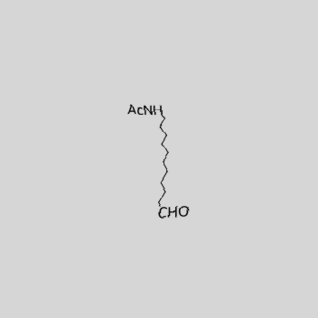 CC(=O)NCCCCCCCCCCC=O